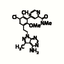 CNC(=O)c1cc(-c2c(C)c(Cl)cc(CCn3nc(C)c4c(N)ncnc43)c2OC)ccn1